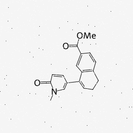 COC(=O)c1ccc2c(c1)C(c1ccc(=O)n(C)c1)=CCC2